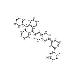 CC1=CCNC=C1c1cncc(-c2ccc3c(c2)CCC(C2=c4ccccc4=C(C4=CC=CCC4)C4C=CC=CC24)=C3)c1